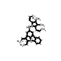 C/C=C\c1c(C)c(C)c(/C=C\C)n1Bc1cc2c(=C/C)/c(=C\C)n3c4ccccc4c(c1)c23